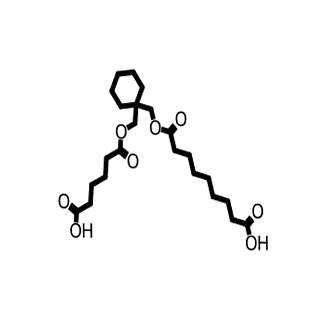 O=C(O)CCCCCCCC(=O)OCC1(COC(=O)CCCCC(=O)O)CCCCC1